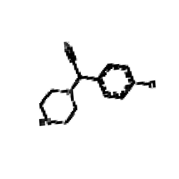 N#CC(c1ccc(Cl)cc1)N1CCNCC1